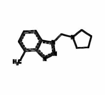 Cc1cccc2c1nnn2CN1CCCC1